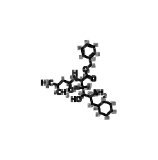 CC(C)CC(=O)NC(C(=O)OCc1ccccc1)C(F)(F)C(O)C(N)CC1CCCCC1